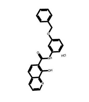 Cl.O=C(Nc1cccc(OCc2ccccc2)c1)c1ccc2cccnc2c1O